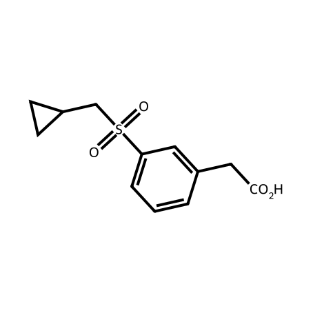 O=C(O)Cc1cccc(S(=O)(=O)CC2CC2)c1